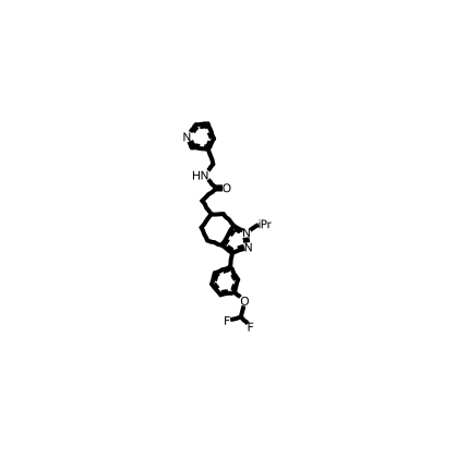 CC(C)n1nc(-c2cccc(OC(F)F)c2)c2c1CC(CC(=O)NCc1cccnc1)CC2